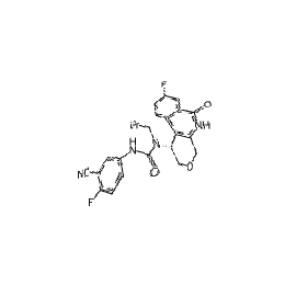 CC(C)CN(C(=O)Nc1ccc(F)c(C#N)c1)[C@H]1COCc2[nH]c(=O)c3cc(F)ccc3c21